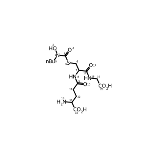 CCCCN(O)C(=O)SCC(NC(=O)CCC(N)C(=O)O)C(=O)NCC(=O)O